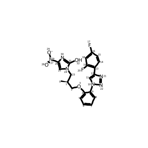 C[C@H](COc1ccccc1-n1cc(-c2ccc(F)cc2F)nn1)Cn1cc([N+](=O)[O-])nc1O